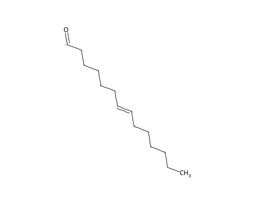 CCCCCCC=CCCCCC[C]=O